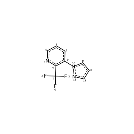 FC(F)(F)c1ncccc1-n1cccn1